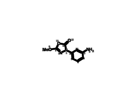 COc1nn(-c2cccc(N)c2)c(=O)o1